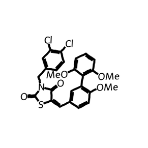 COc1ccc(C=C2SC(=O)N(Cc3ccc(Cl)c(Cl)c3)C2=O)cc1-c1c(OC)cccc1OC